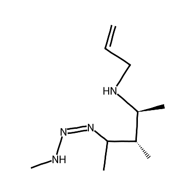 C=CCN[C@@H](C)[C@H](C)C(C)/N=N\NC